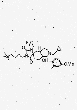 COc1ccc(C[C@H]2N(CC3CC3)CC[C@@H]3C[C@@]4(CC[C@]32O)C(=O)N(COCC[Si](C)(C)C)C(=O)N4CC(F)(F)F)c(C)c1